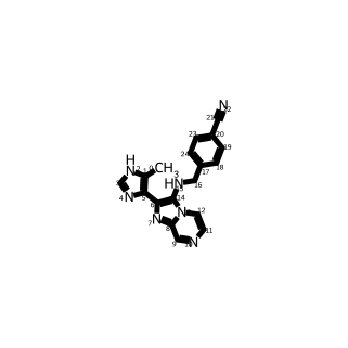 Cc1[nH]cnc1-c1nc2cnccn2c1NCc1ccc(C#N)cc1